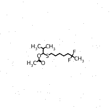 CC(=O)OC(SCCCCCC(C)(F)F)C(C)C